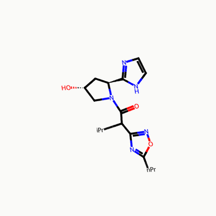 CCCc1nc(C(C(=O)N2C[C@H](O)C[C@H]2c2ncc[nH]2)C(C)C)no1